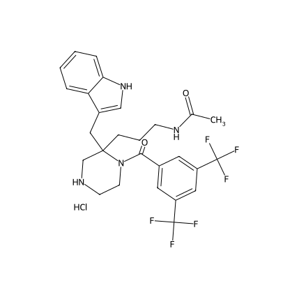 CC(=O)NCCCC1(Cc2c[nH]c3ccccc23)CNCCN1C(=O)c1cc(C(F)(F)F)cc(C(F)(F)F)c1.Cl